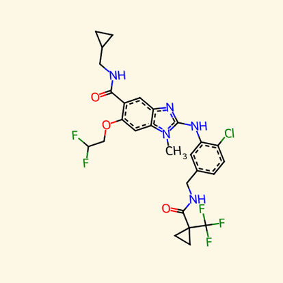 Cn1c(Nc2cc(CNC(=O)C3(C(F)(F)F)CC3)ccc2Cl)nc2cc(C(=O)NCC3CC3)c(OCC(F)F)cc21